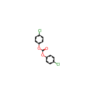 O=C(Oc1ccc(Cl)cc1)Oc1ccc(Cl)cc1